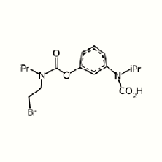 CC(C)N(CCBr)C(=O)Oc1cccc(N(C(=O)O)C(C)C)c1